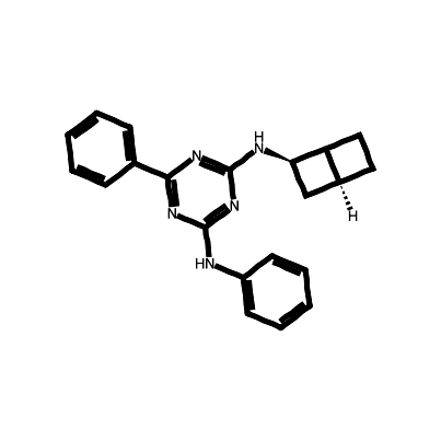 c1ccc(Nc2nc(N[C@@H]3C[C@@H]4CCC43)nc(-c3ccccc3)n2)cc1